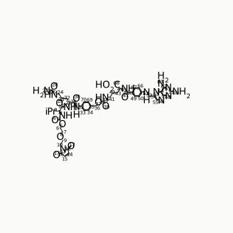 CC(C)[C@H](NC(=O)OCCOCCN1C(=O)C=CC1=O)C(=O)N[C@@H](CCCNC(N)=O)C(=O)Nc1ccc(COC(=O)NCCC[C@H](NC(=O)c2ccc(NCc3cnc4nc(N)nc(N)c4n3)cc2)C(=O)O)cc1